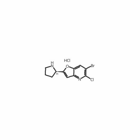 Cl.Clc1nc2cc([C@H]3CCCN3)oc2cc1Br